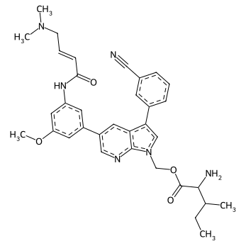 CCC(C)C(N)C(=O)OCn1cc(-c2cccc(C#N)c2)c2cc(-c3cc(NC(=O)/C=C/CN(C)C)cc(OC)c3)cnc21